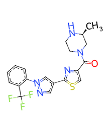 C[C@H]1CN(C(=O)c2csc(-c3cnn(-c4ccccc4C(F)(F)F)c3)n2)CCN1